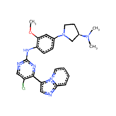 COc1cc(N2CC[C@@H](N(C)C)C2)ccc1Nc1ncc(Cl)c(-c2cnc3ccccn23)n1